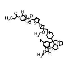 C=CC(=O)N1C[C@@H]2C[C@H]1CN2S(=O)(=O)c1ccc(N2CC(CN3CCC(C(CN4CCC4)(c4cccc(F)c4)[C@H]4CCC[C@@H]4NC(=O)OC)CC3)(OC)C2)s1